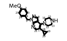 COc1ccc(Cn2ncc3c(N4CCNCC4)c(C4CC4)cnc32)cc1